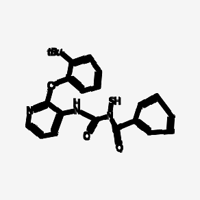 CC(C)(C)c1ccccc1Oc1ncccc1NC(=O)N(S)C(=O)c1ccccc1